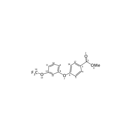 COC(=O)c1ccc(Oc2cccc(OC(F)(F)F)c2)cc1